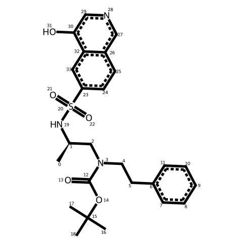 C[C@H](CN(CCc1ccccc1)C(=O)OC(C)(C)C)NS(=O)(=O)c1ccc2cncc(O)c2c1